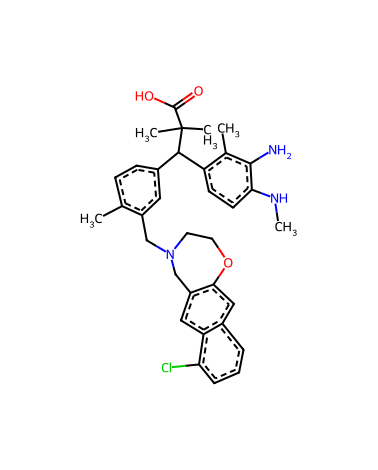 CNc1ccc(C(c2ccc(C)c(CN3CCOc4cc5cccc(Cl)c5cc4C3)c2)C(C)(C)C(=O)O)c(C)c1N